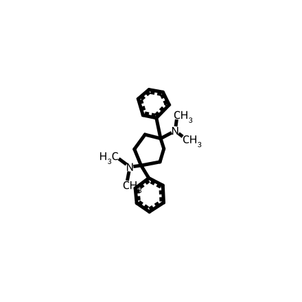 CN(C)C1(c2ccccc2)CCC(c2ccccc2)(N(C)C)CC1